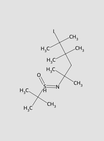 CC(C)(CC(C)(C)C(C)(C)I)/N=[SH](=O)/C(C)(C)C